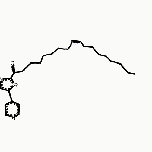 CCCCCCCC/C=C\CCCCCCCC(=O)c1ncc(-c2ccncc2)o1